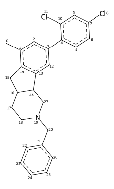 Cc1cc(-c2ccc(Cl)cc2Cl)cc2c1CC1CCN(Cc3ccccc3)CC21